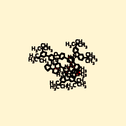 CC(C)(C)c1cc(-c2cc(-c3ccc4c(c3)B3c5cc(-c6cc(-n7c8ccc(C(C)(C)C)cc8c8cc(C(C)(C)C)ccc87)cc(-n7c8ccccc8c8ccc9sc%10ccccc%10c9c87)n6)ccc5N(c5ccccc5-c5ccccc5)c5cc(-c6cc(C(C)(C)C)cc(C(C)(C)C)c6)cc(c53)O4)nc(-n3c4ccc(C(C)(C)C)cc4c4cc(C(C)(C)C)ccc43)c2)cc(C(C)(C)C)c1